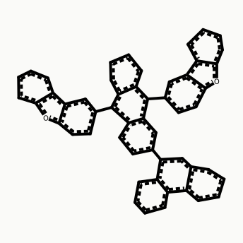 c1ccc2c(c1)cc(-c1ccc3c(-c4ccc5oc6ccccc6c5c4)c4ccccc4c(-c4ccc5oc6ccccc6c5c4)c3c1)c1ccccc12